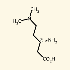 CN(C)CC[C@H](N)CC(=O)O